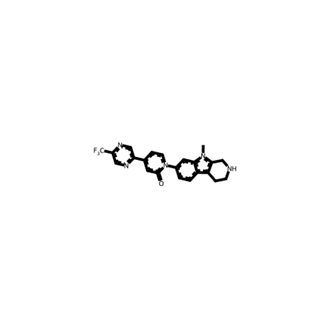 Cn1c2c(c3ccc(-n4ccc(-c5cnc(C(F)(F)F)cn5)cc4=O)cc31)CCNC2